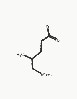 CCCCCCC(C)CCC([O])=O